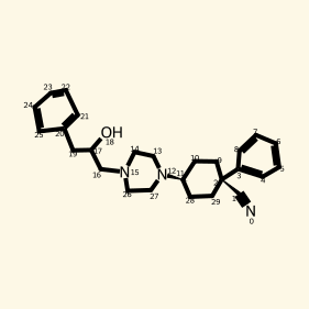 N#C[C@]1(c2ccccc2)CC[C@H](N2CCN(CC(O)Cc3ccccc3)CC2)CC1